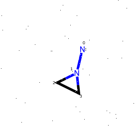 [N]N1CC1